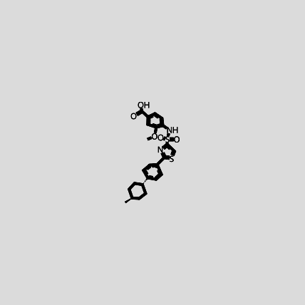 COc1cc(C(=O)O)ccc1NS(=O)(=O)c1csc(-c2ccc([C@H]3CC[C@H](C)CC3)cc2)n1